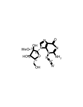 CO[C@@]1(O)[C@H](O)[C@@H](CO)O[C@H]1n1cnc2c(=O)nc(N)n(N=[N+]=[N-])c21